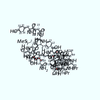 CSCC[C@H](NC(=O)[C@H](Cc1ccccc1)NC(=O)CNC(=O)[C@@H](C)NC(=O)[C@@H](N)Cc1ccc(O)cc1)C(=O)N[C@H](C(=O)N[C@@H](CO)C(=O)N[C@@H](CCC(N)=O)C(=O)N[C@@H](CCCCN)C(=O)N[C@@H](CO)C(=O)N[C@@H](CCC(N)=O)C(=O)N[C@H](C(=O)N1CCC[C@H]1C(=O)N[C@@H](CC(C)C)C(=O)N[C@H](C(=O)N[C@H](C(=O)N[C@@H](CC(C)C)C(=O)N[C@@H](Cc1ccccc1)C(=O)O)[C@@H](C)O)C(C)C)[C@@H](C)O)[C@@H](C)O